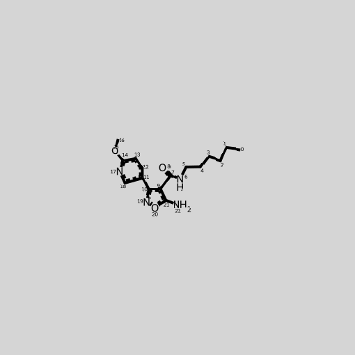 CCCCCCNC(=O)c1c(-c2ccc(OC)nc2)noc1N